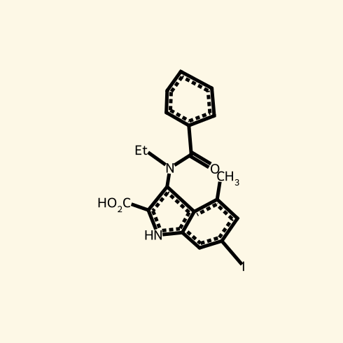 CCN(C(=O)c1ccccc1)c1c(C(=O)O)[nH]c2cc(I)cc(C)c12